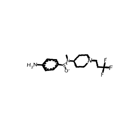 CN(C1CCN(CCC(F)(F)F)CC1)[S+]([O-])c1ccc(N)cc1